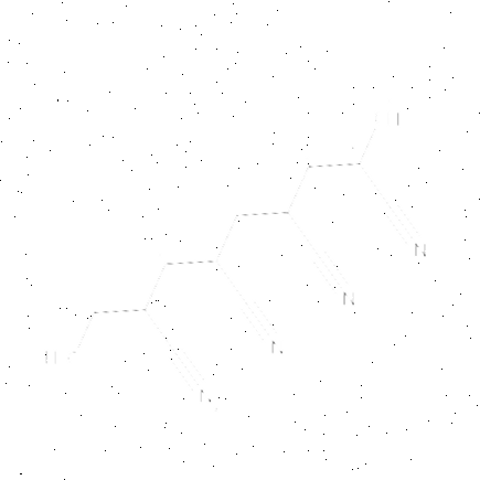 CCC(C#N)CC(C#N)CC(C#N)CC(C)C#N